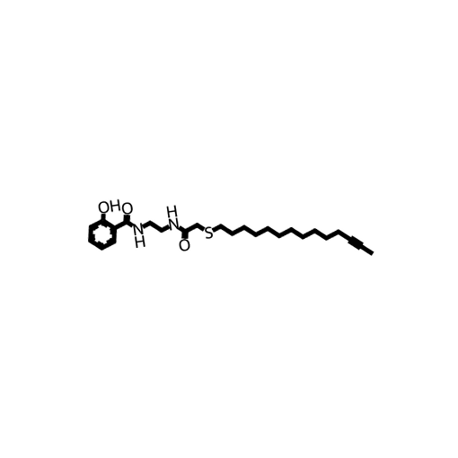 CC#CCCCCCCCCCCCSCC(=O)NCCNC(=O)c1ccccc1O